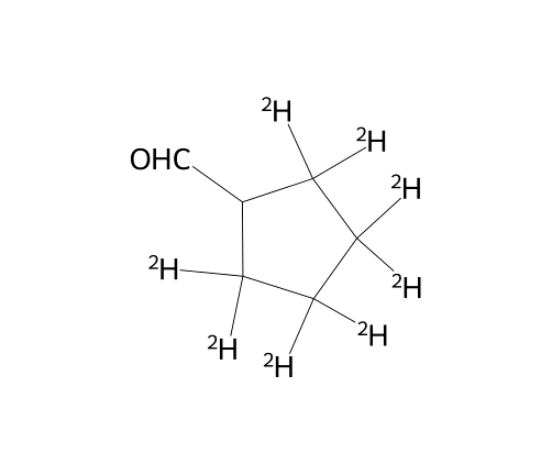 [2H]C1([2H])C(C=O)C([2H])([2H])C([2H])([2H])C1([2H])[2H]